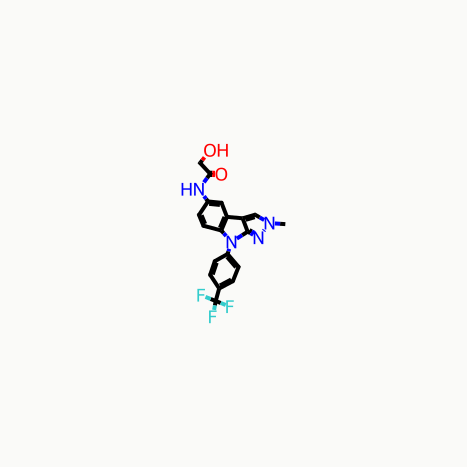 Cn1cc2c3cc(NC(=O)CO)ccc3n(-c3ccc(C(F)(F)F)cc3)c2n1